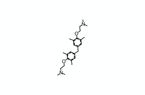 Cc1cc(Cc2cc(C)c(OCCN(C)C)c(C)c2)cc(C)c1OCCN(C)C